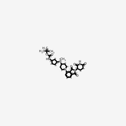 CN(C1CCN(c2cccc3c2C(=O)N(C2CCC(=O)NC2=O)C3=O)CC1)C1CCC(NC(=O)OC(C)(C)C)C1